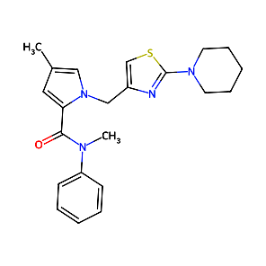 Cc1cc(C(=O)N(C)c2ccccc2)n(Cc2csc(N3CCCCC3)n2)c1